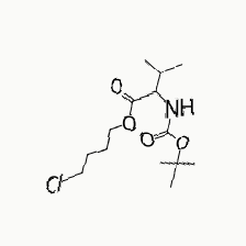 CC(C)C(NC(=O)OC(C)(C)C)C(=O)OCCCCCl